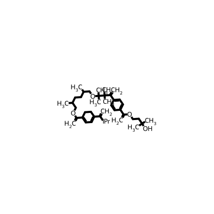 C=C(OCC(C)CCC(C)COC(C)(C)C(C)(C)C(=C)c1ccc(C(=C)OCCC(C)(C)O)cc1)C1=CC=C(C(=C)C(C)C)CC1